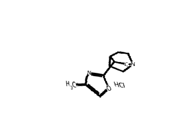 Cc1coc(C2CN3CCC2CC3)n1.Cl